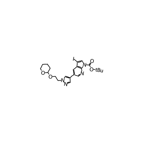 CC(C)(C)OC(=O)n1cc(I)c2cc(-c3cnn(CCOC4CCCCO4)c3)cnc21